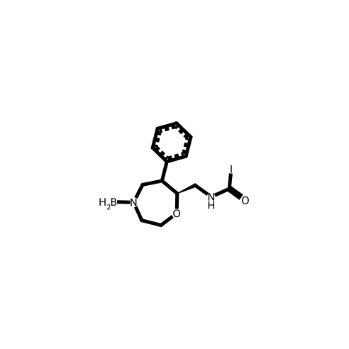 BN1CCO[C@H](CNC(=O)I)C(c2ccccc2)C1